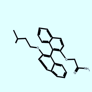 CC(C)CCOc1ccc2ccccc2c1-c1c(OCC(N)=O)ccc2ccccc12